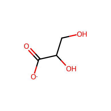 [O]C(=O)C(O)CO